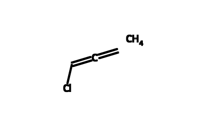 C.C=C=CCl